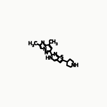 Cc1cn2nc(C3N=c4sc(C5CCNCC5)cc4=CN3)cc(C)c2n1